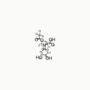 CC(N[C@@](C)(Cc1ccc(O)c(O)c1)C(=O)O)OC(=O)C(C)(C)C